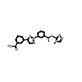 C[C@H](Sc1nncn1C)c1cccc(-n2ncc(-c3cccc(C(=O)O)c3)n2)c1